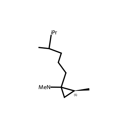 CNC1(CCCC(C)C(C)C)C[C@@H]1C